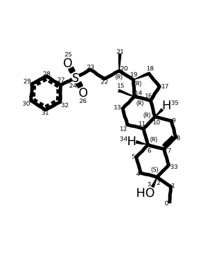 CC[C@]1(O)CC[C@H]2C(=CC[C@@H]3C2CC[C@@]2(C)C3CC[C@@H]2[C@H](C)CCS(=O)(=O)c2ccccc2)C1